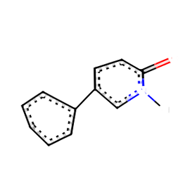 Cn1cc(-c2c[c]ccc2)ccc1=O